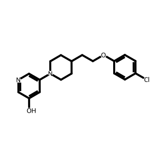 Oc1cncc(N2CCC(CCOc3ccc(Cl)cc3)CC2)c1